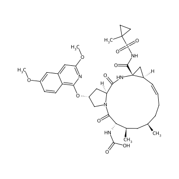 COc1ccc2c(O[C@@H]3C[C@H]4C(=O)N[C@]5(C(=O)NS(=O)(=O)C6(C)CC6)C[C@H]5/C=C\CC[C@@H](C)C[C@@H](C)[C@H](NC(=O)O)C(=O)N4C3)nc(OC)cc2c1